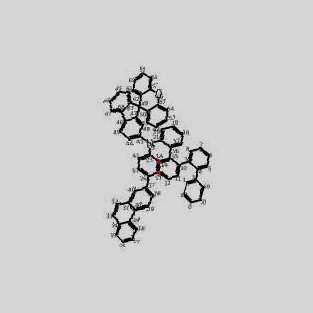 c1ccc(-c2ccccc2-c2ccccc2-c2ccccc2N(c2ccc(-c3ccc4c(ccc5ccccc54)c3)cc2)c2ccc3c(c2)C2(c4ccccc4Oc4ccccc42)c2ccccc2-3)cc1